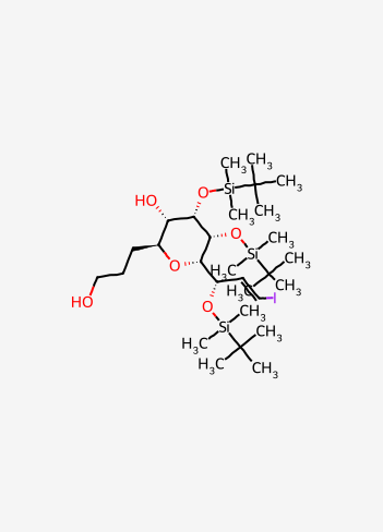 CC(C)(C)[Si](C)(C)O[C@@H]1[C@H]([C@H](C=CI)O[Si](C)(C)C(C)(C)C)O[C@@H](CCCO)[C@H](O)[C@@H]1O[Si](C)(C)C(C)(C)C